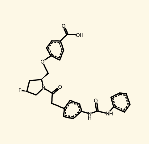 O=C(Nc1ccccc1)Nc1ccc(CC(=O)N2C[C@@H](F)C[C@H]2COc2ccc(C(=O)O)cc2)cc1